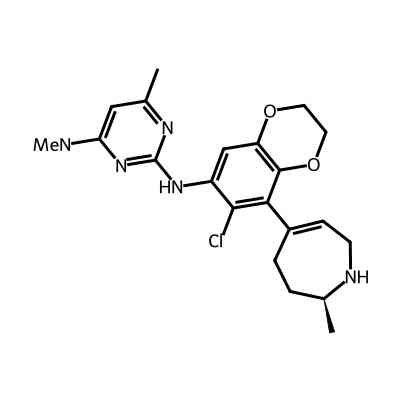 CNc1cc(C)nc(Nc2cc3c(c(C4=CCN[C@@H](C)CC4)c2Cl)OCCO3)n1